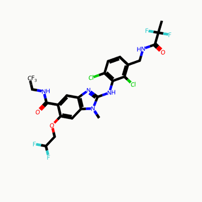 Cn1c(Nc2c(Cl)ccc(CNC(=O)C(C)(F)F)c2Cl)nc2cc(C(=O)NCC(F)(F)F)c(OCC(F)F)cc21